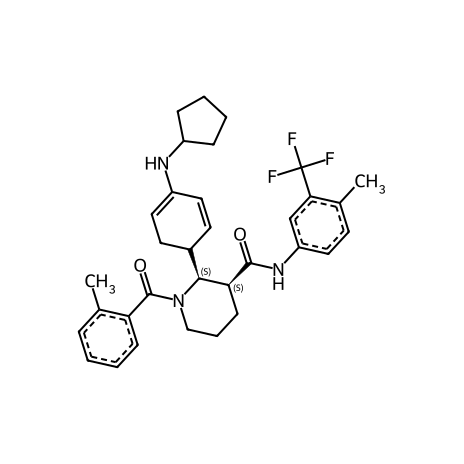 Cc1ccccc1C(=O)N1CCC[C@H](C(=O)Nc2ccc(C)c(C(F)(F)F)c2)[C@@H]1C1C=CC(NC2CCCC2)=CC1